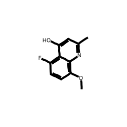 COc1ccc(F)c2c(O)cc(C)nc12